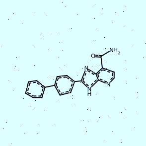 NC(=O)c1ccnc2[nH]c(-c3ccc(-c4ccccc4)cc3)nc12